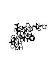 COCc1nc(CN2CCN([C@H](C(=O)N[C@@H](Cc3ccccc3)[C@@H](O)CN(Cc3csc(C(C)C)n3)NC(=O)[C@@H](NC(=O)O)C(C)(C)C)C(C)(C)C)C2=O)cs1